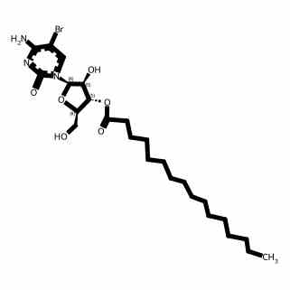 CCCCCCCCCCCCCCCC(=O)O[C@H]1[C@H](O)[C@H](n2cc(Br)c(N)nc2=O)O[C@@H]1CO